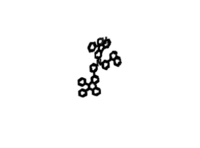 CC1(c2ccccc2)c2ccccc2-c2cc(N(c3cccc(-c4ccc5c(c4)c(-c4ccccc4)c(-c4ccccc4)c4ccccc45)c3)c3cccc(-c4cccc5ccccc45)c3)ccc21